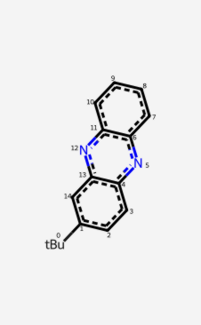 CC(C)(C)c1ccc2nc3ccccc3nc2c1